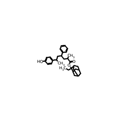 CCC1(OC(=O)C(C)CC(CC(C)c2ccc(O)cc2)c2ccccc2)C2CC3CC(C2)CC1C3